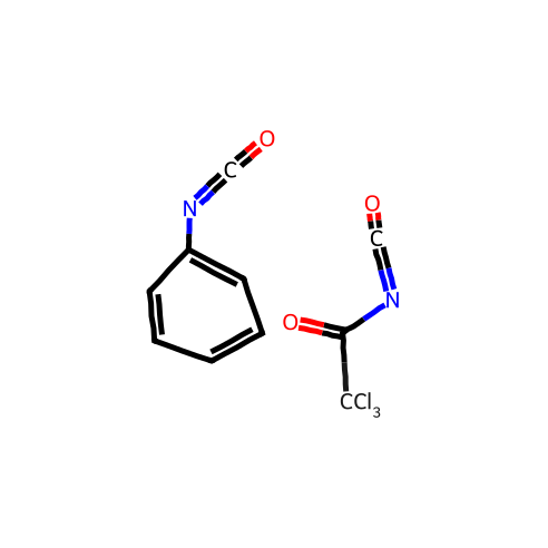 O=C=NC(=O)C(Cl)(Cl)Cl.O=C=Nc1ccccc1